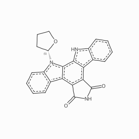 O=C1NC(=O)c2c1c1c3ccccc3[nH]c1c1c2c2ccccc2n1[C@@H]1CCCO1